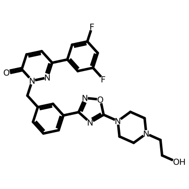 O=c1ccc(-c2cc(F)cc(F)c2)nn1Cc1cccc(-c2noc(N3CCN(CCO)CC3)n2)c1